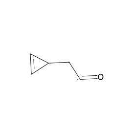 O=[C]CC1C=C1